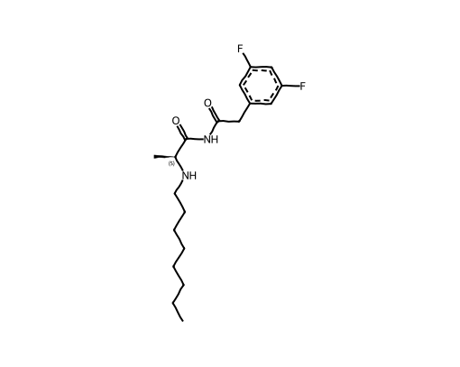 CCCCCCCCN[C@@H](C)C(=O)NC(=O)Cc1cc(F)cc(F)c1